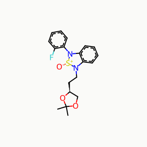 CC1(C)OC[C@H](CCN2c3ccccc3N(c3ccccc3F)[S+]2[O-])O1